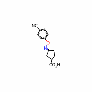 N#Cc1ccc(ON=C2CCC(C(=O)O)C2)cc1